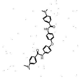 CN(C)c1ccc(C(=O)Nc2ccc(Oc3ccc(NC(=O)c4ccc(N(C)C)cc4)cc3)cc2)cc1